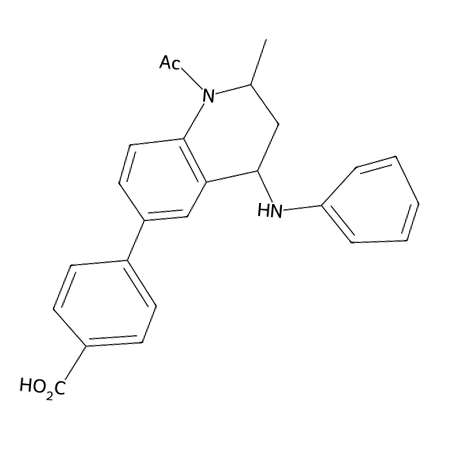 CC(=O)N1c2ccc(-c3ccc(C(=O)O)cc3)cc2C(Nc2ccccc2)CC1C